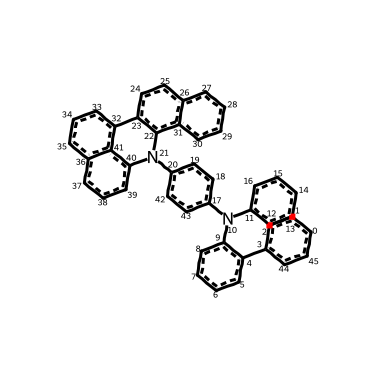 c1ccc(-c2ccccc2N(c2ccccc2)c2ccc(N3c4c(ccc5ccccc45)-c4cccc5cccc3c45)cc2)cc1